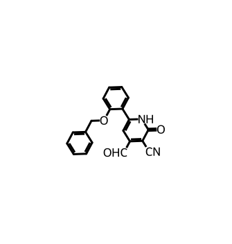 N#Cc1c(C=O)cc(-c2ccccc2OCc2ccccc2)[nH]c1=O